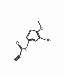 C#CC(=O)Oc1ccc(OC)c(O)c1